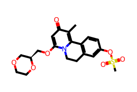 Cc1c2n(c(OC[C@@H]3COCCO3)cc1=O)CCc1cc(OS(C)(=O)=O)ccc1-2